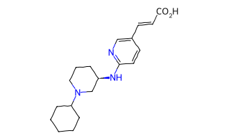 O=C(O)/C=C/c1ccc(N[C@@H]2CCCN(C3CCCCC3)C2)nc1